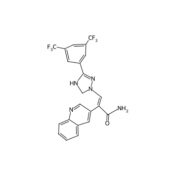 NC(=O)/C(=C/N1CNC(c2cc(C(F)(F)F)cc(C(F)(F)F)c2)=N1)c1cnc2ccccc2c1